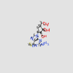 Nc1nc2c(ncn2[C@H]2C[C@@H](CO)[C@H](O)[C@@H]2O)c(=S)[nH]1